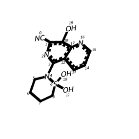 N#Cc1nc(N2CCCCS2(O)O)c2cccnc2c1O